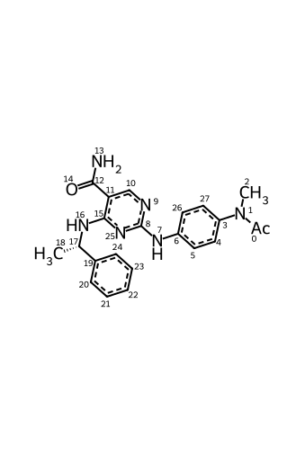 CC(=O)N(C)c1ccc(Nc2ncc(C(N)=O)c(N[C@@H](C)c3ccccc3)n2)cc1